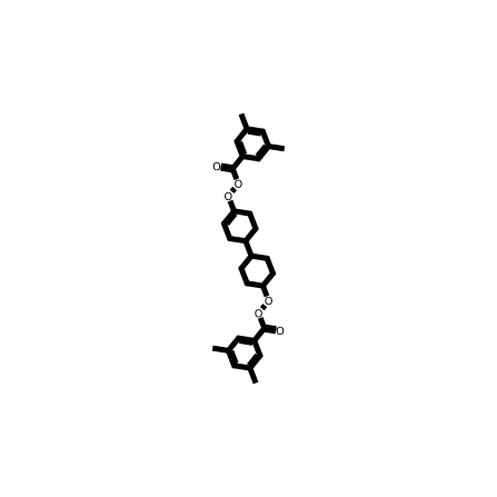 Cc1cc(C)cc(C(=O)OOC2=CCC(C3CCC(OOC(=O)c4cc(C)cc(C)c4)CC3)CC2)c1